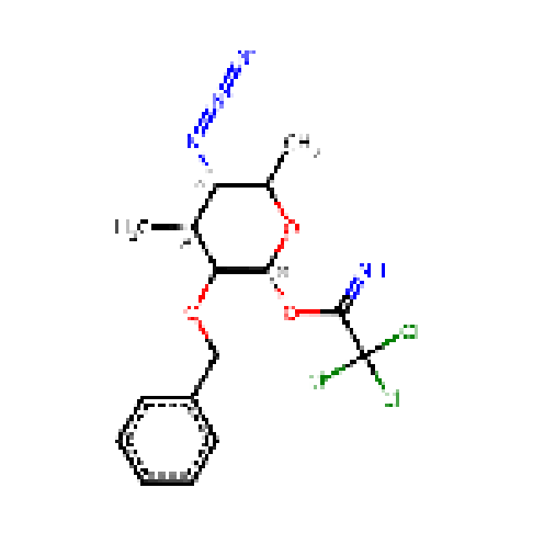 CC1O[C@H](OC(=N)C(Cl)(Cl)Cl)C(OCc2ccccc2)[C@@H](C)[C@@H]1N=[N+]=[N-]